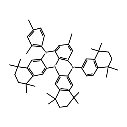 Cc1ccc(N2c3cc4c(cc3B3c5cc6c(cc5N(c5ccc7c(c5)C(C)(C)CCC7(C)C)c5cc(C)cc2c53)C(C)(C)CCC6(C)C)C(C)(C)CCC4(C)C)c(C)c1